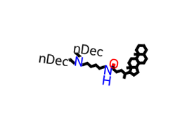 CCCCCCCCCCCCN(CCCCCCCCCCCC)CCCCCCNC(=O)CCC(C)C1CCC2C3CCC4CCCCC4(C)C3CCC12C